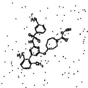 Cc1cccc(C)c1-c1cc(OC2CCCN(C(=O)OC(C)(C)C)CC2)nc(NS(=O)(=O)c2cccc(N)c2)n1